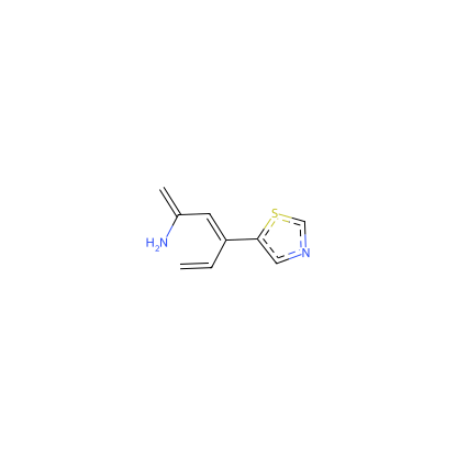 C=C/C(=C\C(=C)N)c1cncs1